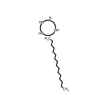 C1CNCCNCNCCNC1.CCCCCCCCCCCCCCCC